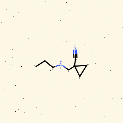 CCCNCC1(C#N)CC1